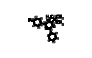 CC(C)(C)c1nc(-c2ccccc2)nc(-c2ccc(F)cc2)n1